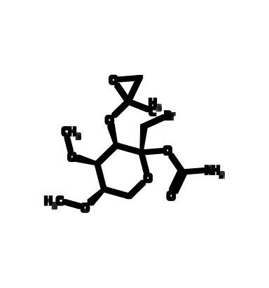 CO[C@H]1[C@@H](OC2(C)CO2)[C@](CBr)(OC(N)=O)OC[C@H]1OC